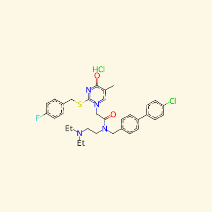 CCN(CC)CCN(Cc1ccc(-c2ccc(Cl)cc2)cc1)C(=O)Cn1cc(C)c(=O)nc1SCc1ccc(F)cc1.Cl